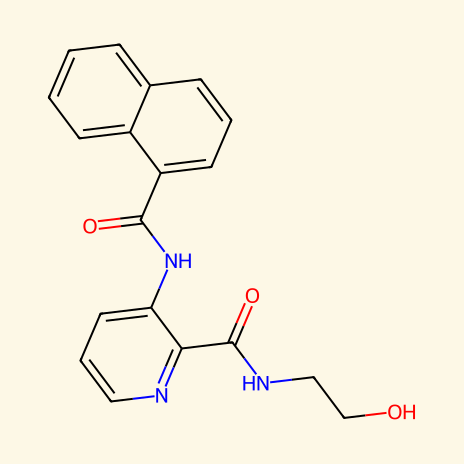 O=C(NCCO)c1ncccc1NC(=O)c1cccc2ccccc12